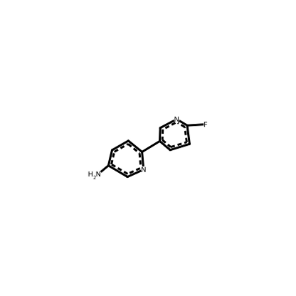 Nc1ccc(-c2ccc(F)nc2)nc1